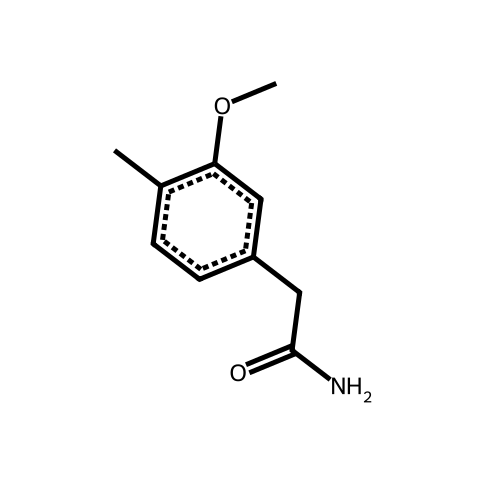 COc1cc(CC(N)=O)ccc1C